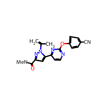 C=C(C)n1nc(C(=O)NC)cc1-c1ccnc(Oc2ccc(C#N)cc2)n1